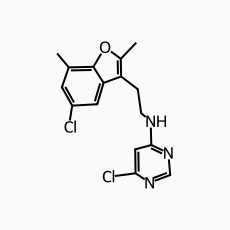 Cc1oc2c(C)cc(Cl)cc2c1CCNc1cc(Cl)ncn1